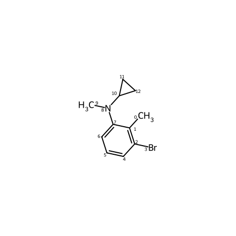 Cc1c(Br)cccc1N(C)C1CC1